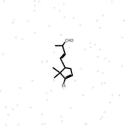 CCC1=CCC(C=CC(C)C=O)C1(C)C